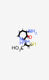 NC1CCCNCC1=O.N[C@@H](CS)C(=O)O